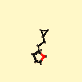 c1coc(CCC2CC2)c1